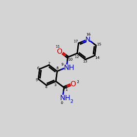 NC(=O)c1ccccc1NC(=O)c1cccnc1